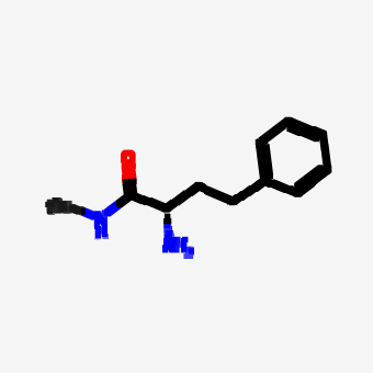 CC(C)(C)NC(=O)[C@@H](N)CCc1ccccc1